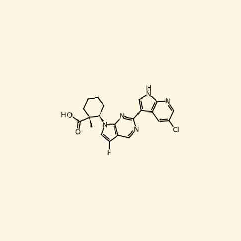 C[C@@]1(C(=O)O)CCCC[C@H]1n1cc(F)c2cnc(-c3c[nH]c4ncc(Cl)cc34)nc21